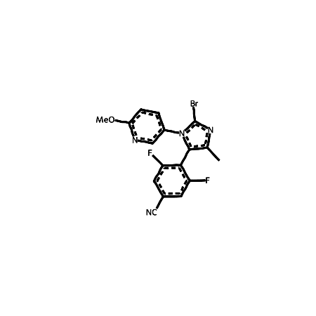 COc1ccc(-n2c(Br)nc(C)c2-c2c(F)cc(C#N)cc2F)cn1